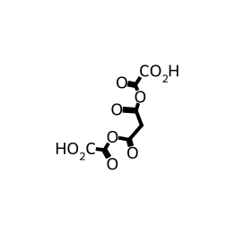 O=C(CC(=O)OC(=O)C(=O)O)OC(=O)C(=O)O